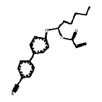 C=CC(=O)OC(CCCCC)Oc1ccc(-c2ccc(C#N)cc2)cc1